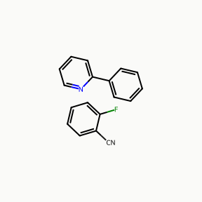 N#Cc1ccccc1F.c1ccc(-c2ccccn2)cc1